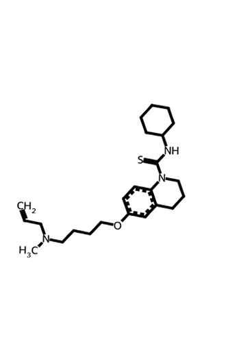 C=CCN(C)CCCCOc1ccc2c(c1)CCCN2C(=S)NC1CCCCC1